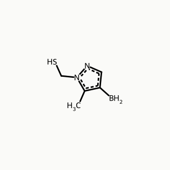 Bc1cnn(CS)c1C